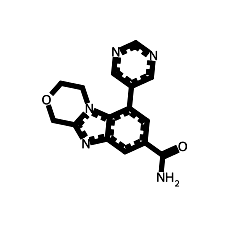 NC(=O)c1cc(-c2cncnc2)c2c(c1)nc1n2CCOC1